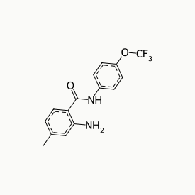 Cc1ccc(C(=O)Nc2ccc(OC(F)(F)F)cc2)c(N)c1